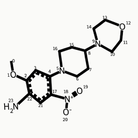 COc1cc(N2CCC(N3CCOCC3)CC2)c([N+](=O)[O-])cc1N